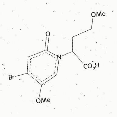 COCCC(C(=O)O)n1cc(OC)c(Br)cc1=O